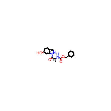 C[C@H](NC(=O)OCc1ccccc1)C(=O)n1ncc2ccc(O)cc21